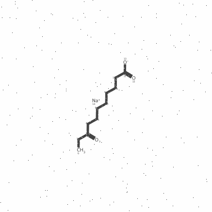 CCC(=O)CCCCCCCC(=O)[O-].[Na+]